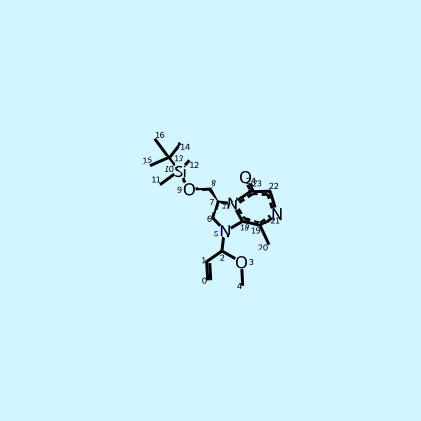 C=CC(OC)N1C[C@@H](CO[Si](C)(C)C(C)(C)C)n2c1c(C)ncc2=O